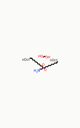 CCCCCCCC/C=C\CCCCCCCC(=O)C(CCN)C(=O)CCCCCCC/C=C\CCCCCCCC.OCCO